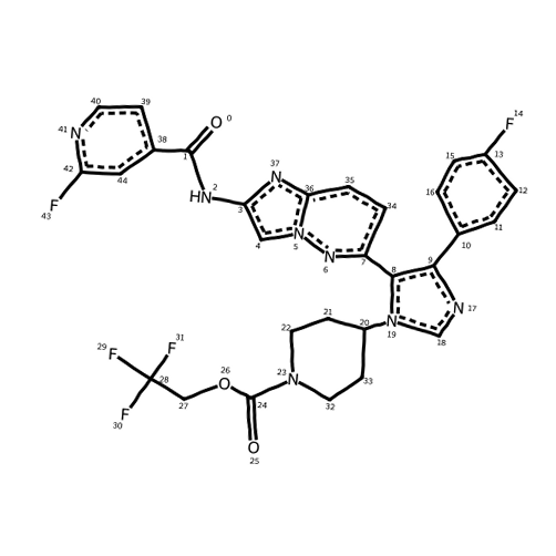 O=C(Nc1cn2nc(-c3c(-c4ccc(F)cc4)ncn3C3CCN(C(=O)OCC(F)(F)F)CC3)ccc2n1)c1ccnc(F)c1